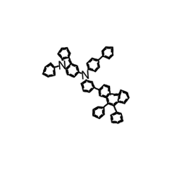 c1ccc(-c2ccc(N(c3cccc(-c4ccc5c(c4)c(-c4ccccc4)c(-c4ccccc4)c4ccccc45)c3)c3ccc4c(c3)c3ccccc3n4-c3ccccc3)cc2)cc1